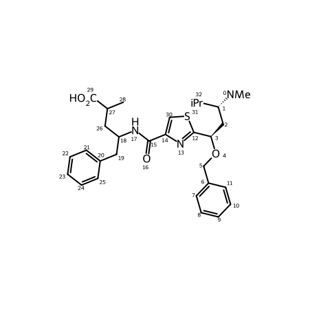 CN[C@H](C[C@@H](OCc1ccccc1)c1nc(C(=O)NC(Cc2ccccc2)CC(C)C(=O)O)cs1)C(C)C